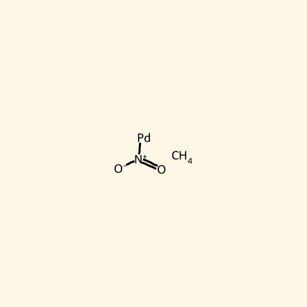 C.O=[N+]([O-])[Pd]